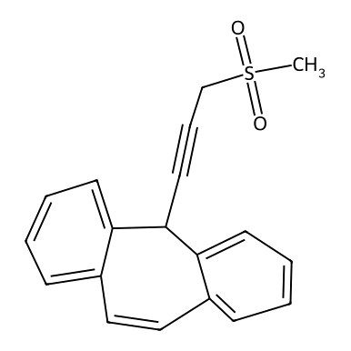 CS(=O)(=O)CC#CC1c2ccccc2C=Cc2ccccc21